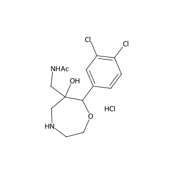 CC(=O)NCC1(O)CNCCOC1c1ccc(Cl)c(Cl)c1.Cl